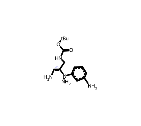 CC(C)(C)OC(=O)NC/C(=C/N)N(N)c1cccc(N)c1